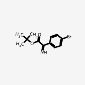 CC(C)(C)OC(=O)C(=N)c1ccc(Br)cc1